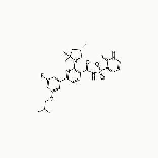 CC(C)COc1cc(F)cc(-c2ccc(C(=O)NS(=O)(=O)c3ccc[nH]c3=O)c(N3C[C@@H](C)CC3(C)C)n2)c1